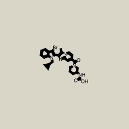 Cc1c(-c2c(Br)c3ccccc3n2CC2CC2)nc2cc(C(=O)N3CCCC(NC(=O)O)C3)ccn12